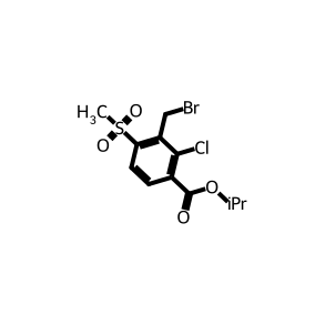 CC(C)OC(=O)c1ccc(S(C)(=O)=O)c(CBr)c1Cl